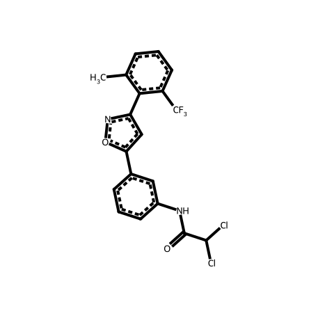 Cc1cccc(C(F)(F)F)c1-c1cc(-c2cccc(NC(=O)C(Cl)Cl)c2)on1